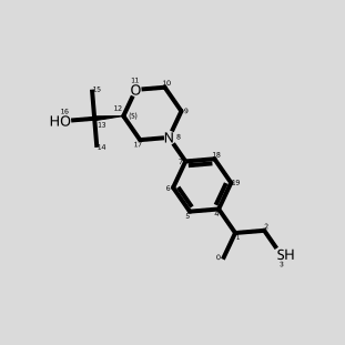 CC(CS)c1ccc(N2CCO[C@H](C(C)(C)O)C2)cc1